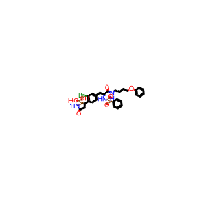 O=C1CC(c2ccc(CC(NS(=O)(=O)c3ccccc3)C(=O)NCCCCOc3ccccc3)cc2Br)S(O)(O)N1